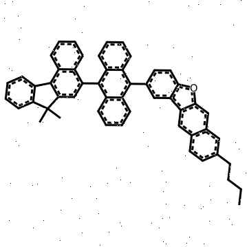 CCCCc1ccc2cc3c(cc2c1)oc1ccc(-c2c4ccccc4c(-c4cc5c(c6ccccc46)-c4ccccc4C5(C)C)c4ccccc24)cc13